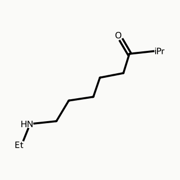 CCNCCCCCC(=O)C(C)C